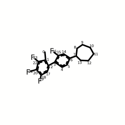 Cc1c(-c2ccc(C3CCCCCC3)cc2F)cc(F)c(F)c1F